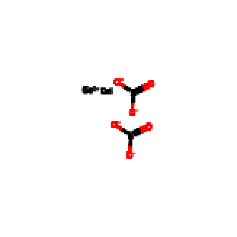 O=[Si]([O-])[O-].O=[Si]([O-])[O-].[Ga].[Ge+4]